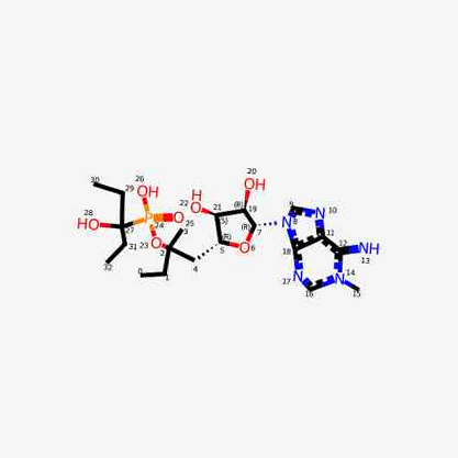 CCC(C)(C[C@H]1O[C@@H](n2cnc3c(=N)n(C)cnc32)[C@H](O)[C@@H]1O)OP(=O)(O)C(O)(CC)CC